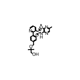 COc1nc(C)cnc1NS(=O)(=O)c1cccnc1-c1ccc(COC(C)(C)CO)cc1